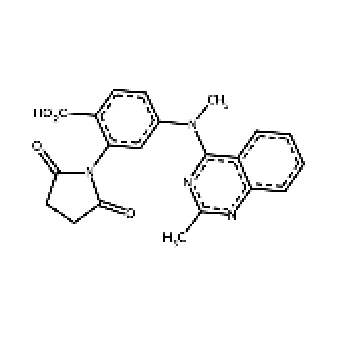 Cc1nc(N(C)c2ccc(C(=O)O)c(N3C(=O)CCC3=O)c2)c2ccccc2n1